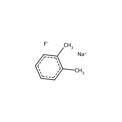 Cc1ccccc1C.[F-].[Na+]